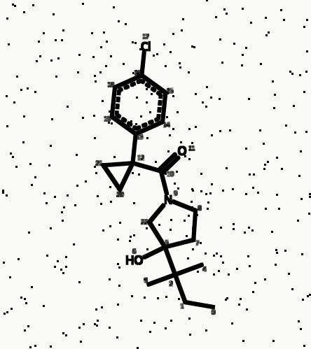 CCC(C)(C)C1(O)CCN(C(=O)C2(c3ccc(Cl)cc3)CC2)C1